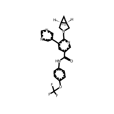 O=C(Nc1ccc(OC(F)(F)F)cc1)c1cnc(N2C[C@H]3C[C@H]3C2)c(-c2cncnc2)c1